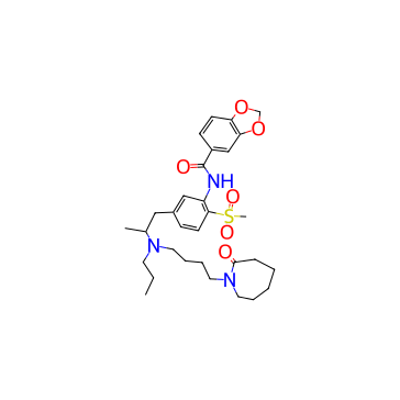 CCCN(CCCCN1CCCCCC1=O)C(C)Cc1ccc(S(C)(=O)=O)c(NC(=O)c2ccc3c(c2)OCO3)c1